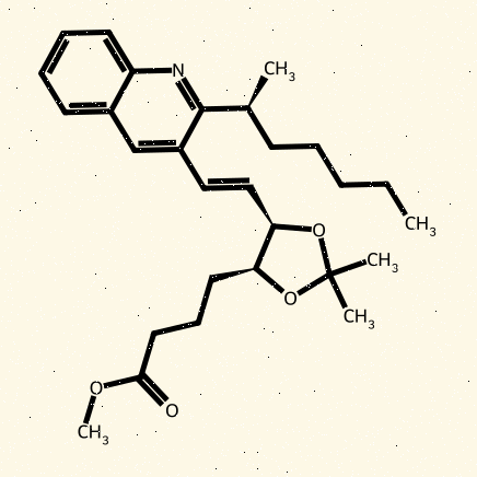 CCCCC[C@H](C)c1nc2ccccc2cc1/C=C/[C@H]1OC(C)(C)O[C@H]1CCCC(=O)OC